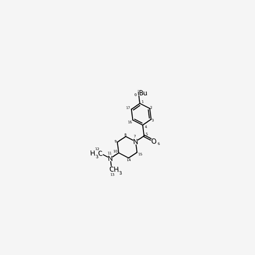 CCC(C)c1ccc(C(=O)N2CCC(N(C)C)CC2)cc1